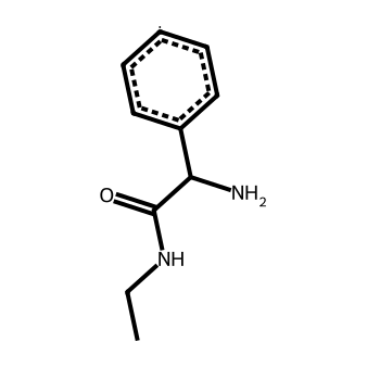 CCNC(=O)C(N)c1cc[c]cc1